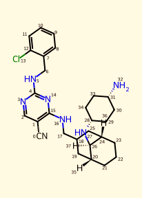 N#Cc1cnc(NCc2ccccc2Cl)nc1NCC1C[C@H]2CCC[C@@H](C1)[C@@H]2N[C@H]1CC[C@@H](N)CC1